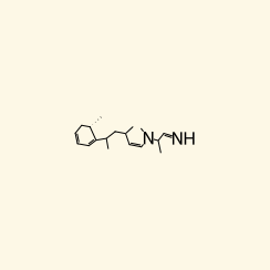 CC(/C=C\N(C)C(C)C=N)CC(C)C1=CC=CC[C@@H]1C